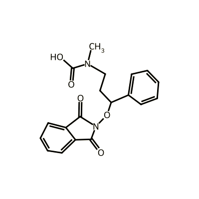 CN(CCC(ON1C(=O)c2ccccc2C1=O)c1ccccc1)C(=O)O